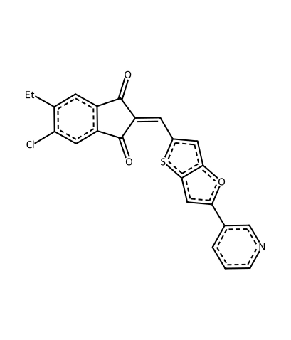 CCc1cc2c(cc1Cl)C(=O)/C(=C\c1cc3oc(-c4cccnc4)cc3s1)C2=O